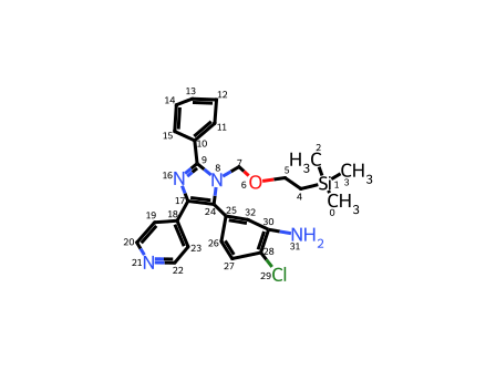 C[Si](C)(C)CCOCn1c(-c2ccccc2)nc(-c2ccncc2)c1-c1ccc(Cl)c(N)c1